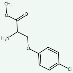 COC(=O)C(N)COc1ccc(Cl)cc1